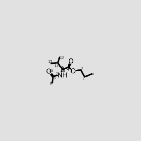 CCCOC(=O)[C@@H](NC(C)=O)C(C)C